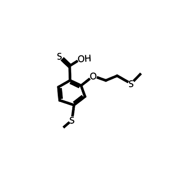 CSCCOc1cc(SC)ccc1C(O)=S